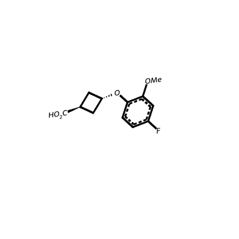 COc1cc(F)ccc1O[C@H]1C[C@H](C(=O)O)C1